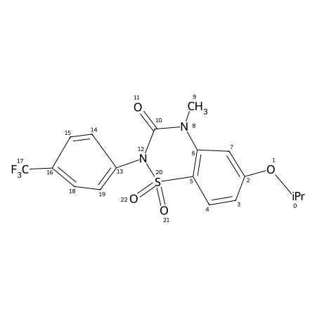 CC(C)Oc1ccc2c(c1)N(C)C(=O)N(c1ccc(C(F)(F)F)cc1)S2(=O)=O